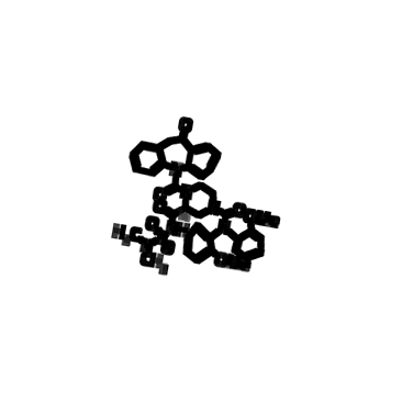 COc1ccccc1N(C(=O)N1CCN(C(=O)N2c3ccccc3CC(=O)c3ccccc32)[C@H](C(=O)NS(=O)(=O)N(C)C)C1)c1ccccc1OC